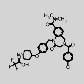 CN(C)C(=O)c1ccc2c(c1)N(Cc1ccc(OC3CCNCC3)cc1)C(=O)CN(C(=O)c1ccc(Cl)cc1)C2.O=C(O)C(F)(F)F